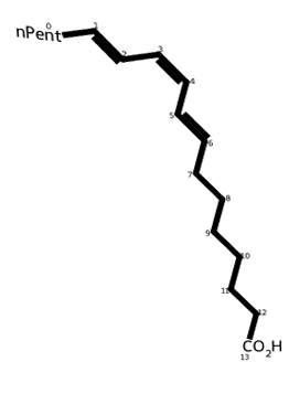 CCCCC/C=C/C=C\C=C\CCCCCCC(=O)O